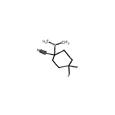 CN(C)C1(C#N)CCC(F)(F)CC1